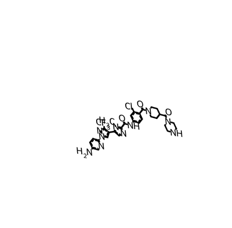 Cn1c(-c2cn(-c3ccc(N)cn3)nc2C(F)(F)F)cnc1C(=O)Nc1ccc(C(=O)N2CCC(C(=O)N3CCNCC3)CC2)c(Cl)c1